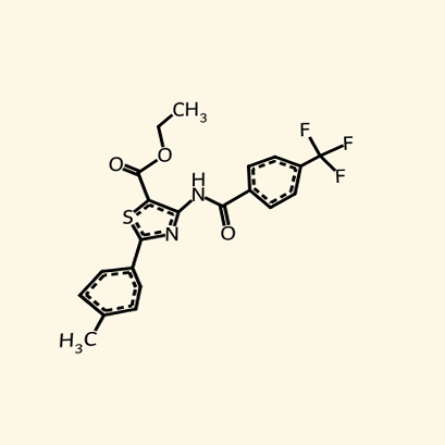 CCOC(=O)c1sc(-c2ccc(C)cc2)nc1NC(=O)c1ccc(C(F)(F)F)cc1